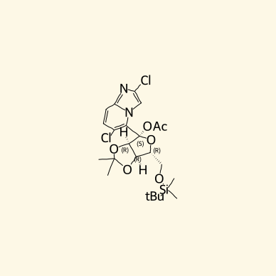 CC(=O)O[C@]1(c2c(Cl)ccc3nc(Cl)cn23)O[C@H](CO[Si](C)(C)C(C)(C)C)[C@H]2OC(C)(C)O[C@H]21